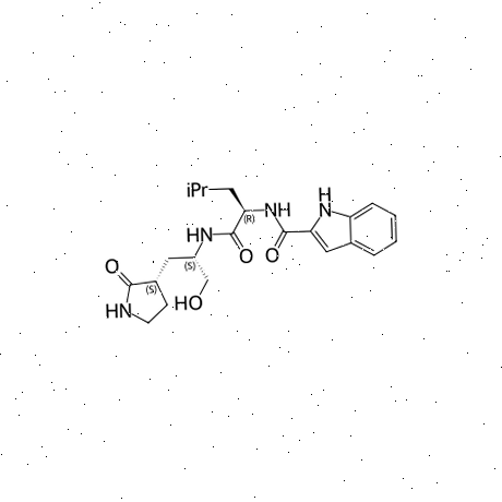 CC(C)C[C@@H](NC(=O)c1cc2ccccc2[nH]1)C(=O)N[C@H](CO)C[C@@H]1CCNC1=O